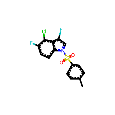 Cc1ccc(S(=O)(=O)n2cc(F)c3c(Cl)c(F)ccc32)cc1